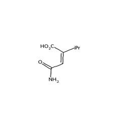 CC(C)C(=CC(N)=O)C(=O)O